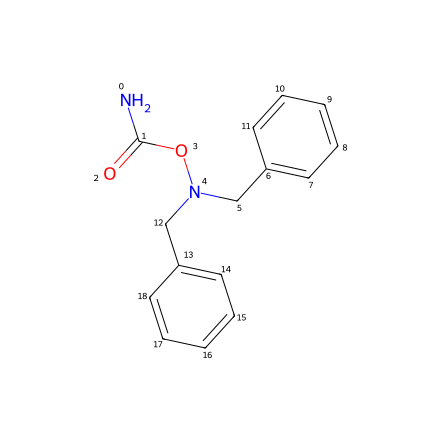 NC(=O)ON(Cc1ccccc1)Cc1ccccc1